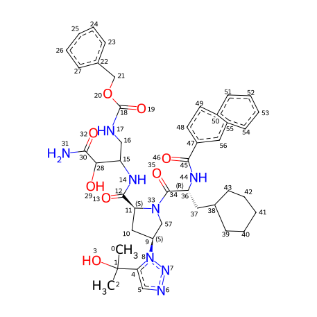 CC(C)(O)c1cnnn1[C@H]1C[C@@H](C(=O)NC(CNC(=O)OCc2ccccc2)C(O)C(N)=O)N(C(=O)[C@@H](CC2CCCCC2)NC(=O)c2ccc3ccccc3c2)C1